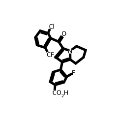 O=C(O)c1ccc(-c2cc(C(=O)c3c(Cl)cccc3C(F)(F)F)n3c2CCCC3)c(F)c1